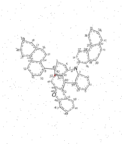 c1ccc(N(c2ccc(-c3cccc4c3ccc3ccccc34)cc2)c2ccc3c(ccc4ccccc43)c2)c(-c2cccc3oc4ccccc4c23)c1